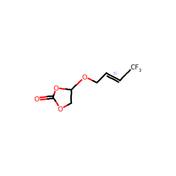 O=C1OCC(OC/C=C/C(F)(F)F)O1